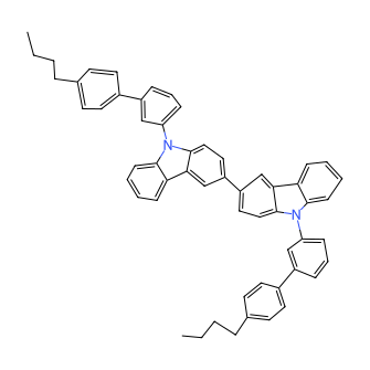 CCCCc1ccc(-c2cccc(-n3c4ccccc4c4cc(-c5ccc6c(c5)c5ccccc5n6-c5cccc(-c6ccc(CCCC)cc6)c5)ccc43)c2)cc1